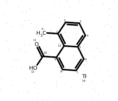 Cc1cccc2cccc(C(=O)O)c12.[Tl]